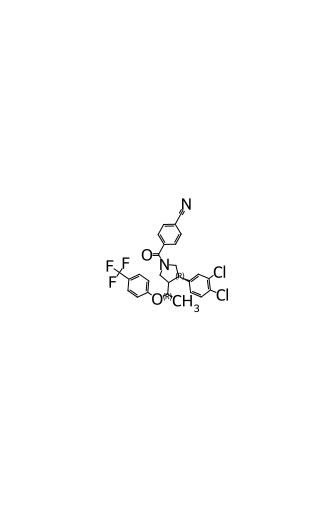 C[C@@H](Oc1ccc(C(F)(F)F)cc1)C1CN(C(=O)c2ccc(C#N)cc2)C[C@H]1c1ccc(Cl)c(Cl)c1